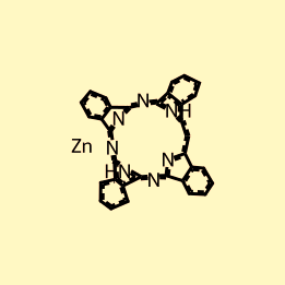 [Zn].c1ccc2c(c1)-c1cc3[nH]c(nc4nc(nc5[nH]c(nc-2n1)c1ccccc51)-c1ccccc1-4)c1ccccc31